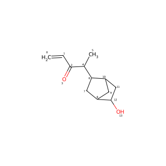 C=CC(=O)C(C)C1CC2CC1CC2O